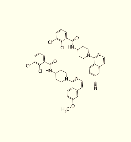 COc1ccc2c(N3CCC(NC(=O)c4cccc(Cl)c4Cl)CC3)nccc2c1.N#Cc1ccc2c(N3CCC(NC(=O)c4cccc(Cl)c4Cl)CC3)nccc2c1